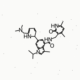 Cc1cc(C)c(CNC(=O)c2cc(C3C=CC=C(CN(C)C)N3)cc3c2c(C)cn3C(C)C)c(=O)[nH]1